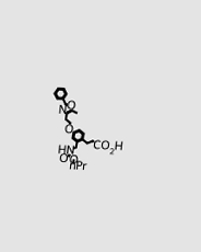 CCCOC(=O)NCc1cc(OCCc2nc(-c3ccccc3)oc2C)ccc1CCC(=O)O